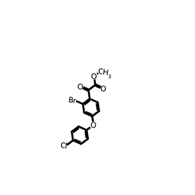 COC(=O)C(=O)c1ccc(Oc2ccc(Cl)cc2)cc1Br